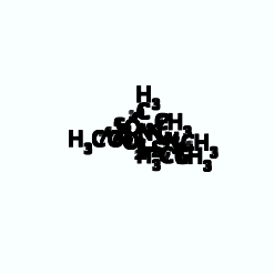 CCOP(=S)(OCC)OC1=NN(C)C(=NC(C)(C)C)SC1